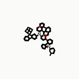 CC1C=CC=C(n2c3ccccc3c3c(-c4ccc(N(c5ccc6c(c5)C5(c7ccccc7-6)C6CC7CC8CC5C786)c5ccccc5-c5cccc6cccc(-c7ccccc7)c56)cc4)cccc32)C1